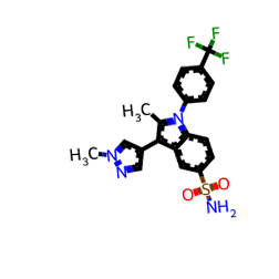 Cc1c(-c2cnn(C)c2)c2cc(S(N)(=O)=O)ccc2n1-c1ccc(C(F)(F)F)cc1